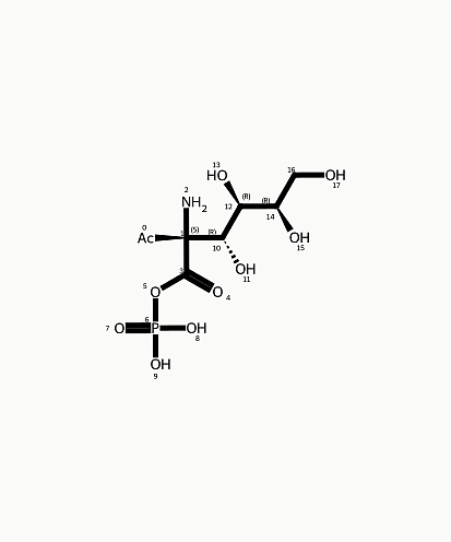 CC(=O)[C@](N)(C(=O)OP(=O)(O)O)[C@@H](O)[C@@H](O)[C@H](O)CO